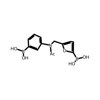 CC(=O)N(Cc1ccc(B(O)O)o1)c1cccc(B(O)O)c1